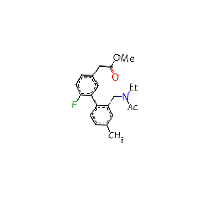 CCN(Cc1cc(C)ccc1-c1cc(CC(=O)OC)ccc1F)C(C)=O